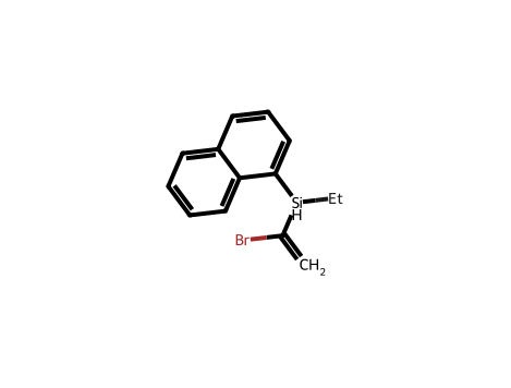 C=C(Br)[SiH](CC)c1cccc2ccccc12